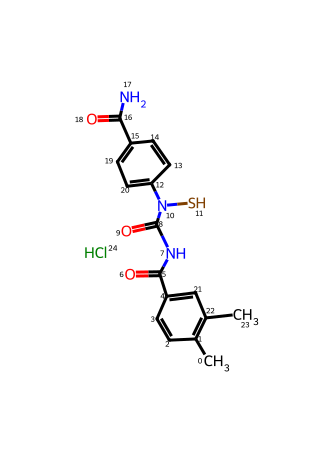 Cc1ccc(C(=O)NC(=O)N(S)c2ccc(C(N)=O)cc2)cc1C.Cl